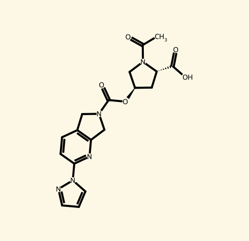 CC(=O)N1C[C@H](OC(=O)N2Cc3ccc(-n4cccn4)nc3C2)C[C@H]1C(=O)O